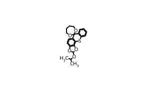 CC(C)OC1Oc2ccc3c(c2O1)Sc1ccccc1C31OCCCCO1